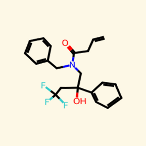 C=CCC(=O)N(Cc1ccccc1)CC(O)(CC(F)(F)F)c1ccccc1